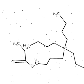 CCC(=O)[O-].CCCC[P+](CCCC)(CCCC)CCCC